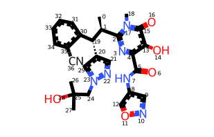 C[C@@H](c1nc(C(=O)Nc2cnoc2)c(O)c(=O)n1C)[C@H](c1cnn(CC(C)(C)O)c1)c1ccccc1C#N